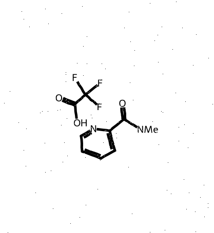 CNC(=O)c1ccccn1.O=C(O)C(F)(F)F